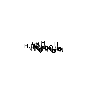 CC(C)(C)OC(=O)Nc1cc(Nc2ccc(C(=O)Nc3cccc(Nc4ccncc4)c3)cc2)ccn1